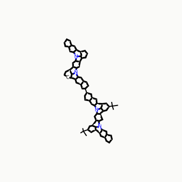 CC(C)(C)c1cc2c3cc4ccccc4cc3n3c4cc5c6cc(C(C)(C)C)cc7c8cc9cc(-c%10ccc%11cc%12c(cc%11c%10)c%10cccc%11c%13cc%14c(cc%13n%12c%10%11)c%10cccc%11c%12cc%13ccccc%13cc%12n%14c%11%10)ccc9cc8n(c5cc4c(c1)c23)c76